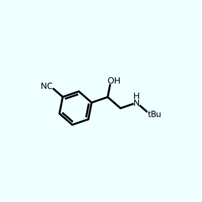 CC(C)(C)NCC(O)c1cccc(C#N)c1